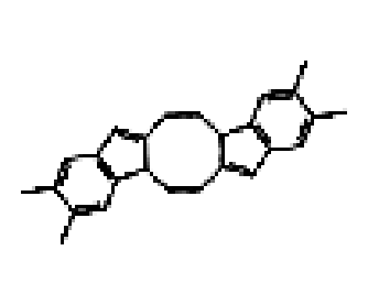 Cc1cc2c(cc1C)C1CCC3=Cc4cc(C)c(C)cc4C3CCC1=C2